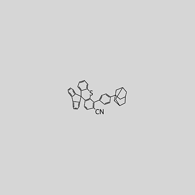 N#Cc1ccc2c(c1-c1ccc(C34CC5CC(CC(C5)C3)C4)cc1)Sc1ccccc1C21c2ccccc2-c2ccccc21